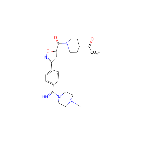 CN1CCN(C(=N)c2ccc(C3=NOC(C(=O)N4CCC(C(=O)C(=O)O)CC4)C3)cc2)CC1